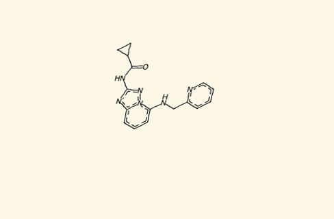 O=C(Nc1nc2cccc(NCc3ccccn3)n2n1)C1CC1